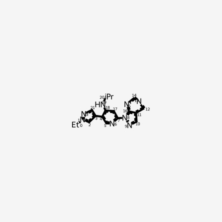 CCn1cc(-c2cnc(-n3ncc4cncnc43)cc2NC(C)C)cn1